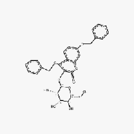 O=c1oc2cc(OCc3ccccc3)ccc2c(OCc2ccccc2)c1O[C@H]1O[C@H](CO)[C@@H](O)[C@H](O)[C@@H]1O